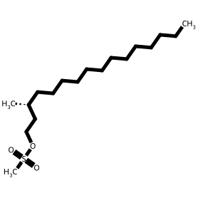 CCCCCCCCCCCCC[C@@H](C)CCOS(C)(=O)=O